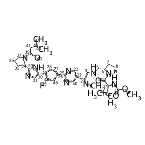 C=N/C(=C\NC[C@@H]1CCCN1C(=O)[C@@H](NC(=O)OC)C(C)C)c1cnc(-c2ccc(-c3cnc([C@@H]4CCCN4C(=O)CC(C)C)[nH]3)c(F)c2)nc1